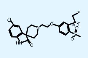 CS(=O)(=O)c1ccc(OCCN2CCC3(CC2)C(=O)Nc2ccc(Cl)cc23)cc1[C@@H](F)CF